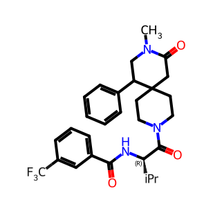 CC(C)[C@@H](NC(=O)c1cccc(C(F)(F)F)c1)C(=O)N1CCC2(CC1)CC(=O)N(C)CC2c1ccccc1